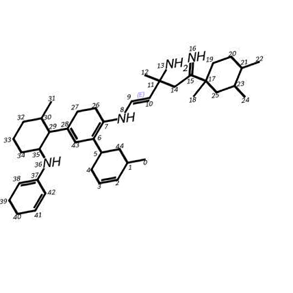 CC1C=CCC(C2=C(N/C=C/C(C)(N)CC(=N)C3(C)CCC(C)C(C)C3)CCC(C3C(C)CCCC3NC3=CCCC=C3)=C2)C1